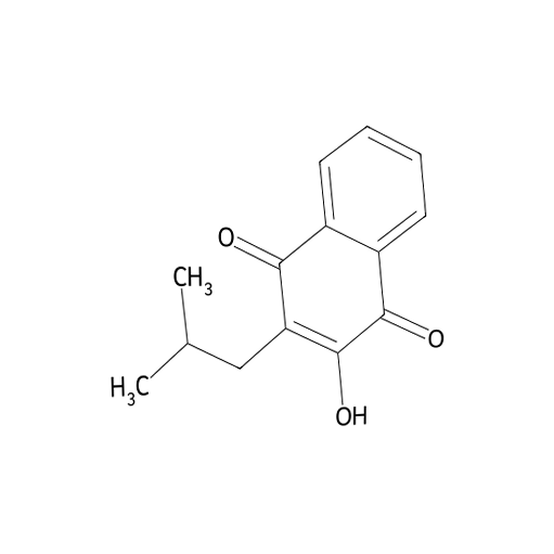 CC(C)CC1=C(O)C(=O)c2ccccc2C1=O